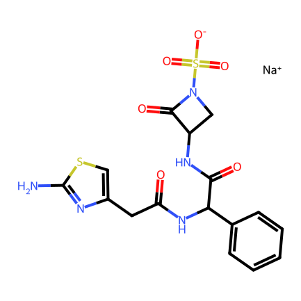 Nc1nc(CC(=O)NC(C(=O)NC2CN(S(=O)(=O)[O-])C2=O)c2ccccc2)cs1.[Na+]